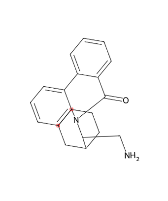 NCC1C2CCC(CC2)N1C(=O)c1ccccc1-c1ccccc1